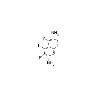 Nc1cc2ccc(N)c(F)c2c(F)c1F